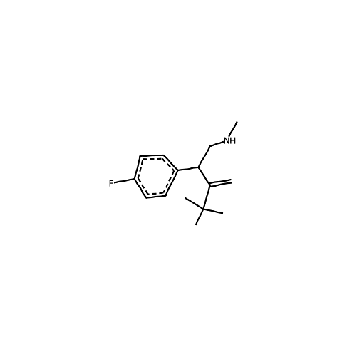 C=C(C(CNC)c1ccc(F)cc1)C(C)(C)C